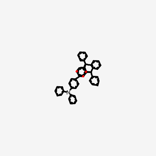 c1ccc(N(c2ccccc2)c2ccc(-c3ccc4c(c3)C3(c5ccccc5)c5ccccc5C4(c4ccccc4)c4ccccc43)cc2)cc1